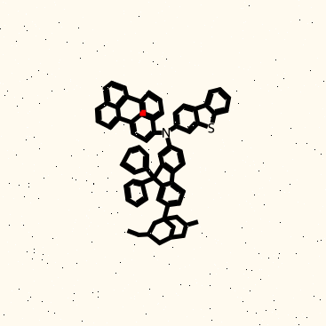 CCC1CC2CC(C)CC(c3ccc4c(c3)C(c3ccccc3)(c3ccccc3)c3cc(N(c5ccc(-c6cccc7cccc(-c8ccccc8)c67)cc5)c5ccc6c(c5)sc5ccccc56)ccc3-4)(C1)C2